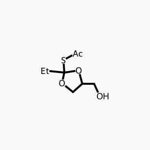 CCC1(SC(C)=O)OCC(CO)O1